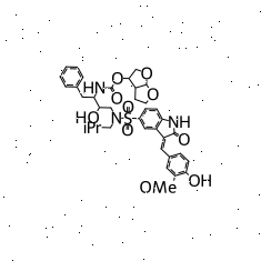 COc1cc(C=C2C(=O)Nc3ccc(S(=O)(=O)N(CC(C)C)CC(O)C(Cc4ccccc4)NC(=O)OC4COC5OCCC45)cc32)ccc1O